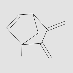 C=C1C(=C)C2(C)C=CC1C2